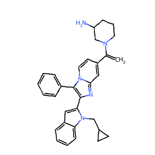 C=C(c1ccn2c(-c3ccccc3)c(-c3cc4ccccc4n3CC3CC3)nc2c1)N1CCCC(N)C1